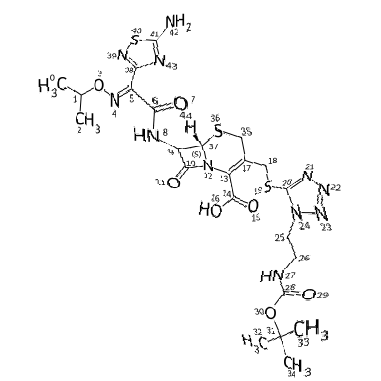 CC(C)ON=C(C(=O)NC1C(=O)N2C(C(=O)O)=C(CSc3nnnn3CCNC(=O)OC(C)(C)C)CS[C@@H]12)c1nsc(N)n1